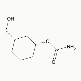 NC(=O)O[C@@H]1CCC[C@H](CO)C1